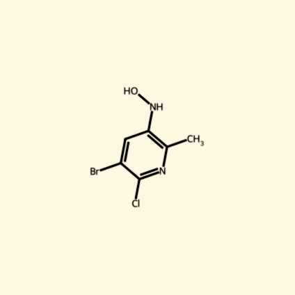 Cc1nc(Cl)c(Br)cc1NO